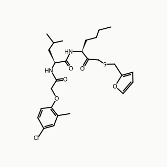 CCCC[C@H](NC(=O)[C@H](CC(C)C)NC(=O)COc1ccc(Cl)cc1C)C(=O)CSCc1ccco1